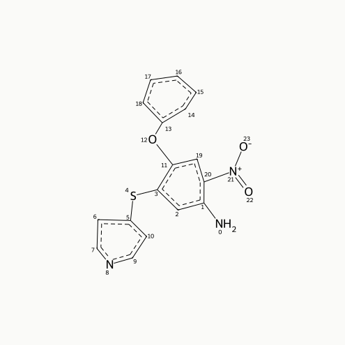 Nc1cc(Sc2ccncc2)c(Oc2ccccc2)cc1[N+](=O)[O-]